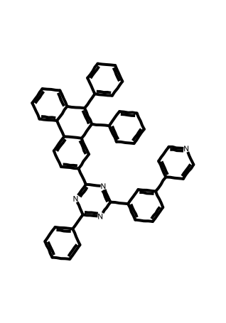 c1ccc(-c2nc(-c3cccc(-c4ccncc4)c3)nc(-c3ccc4c(c3)c(-c3ccccc3)c(-c3ccccc3)c3ccccc34)n2)cc1